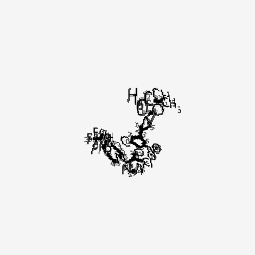 Cc1cc(C2CN(C(=O)OC(C)(C)C)C2)cc([N+](=O)[O-])c1OCc1c(Cl)ncnc1N1CCS(=O)(=NC(=O)C(F)(F)F)CC1